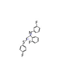 Fc1ccc(S/C=C/C(=N/c2cccc(F)c2)c2ccccc2F)cc1